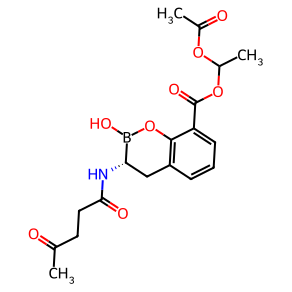 CC(=O)CCC(=O)N[C@H]1Cc2cccc(C(=O)OC(C)OC(C)=O)c2OB1O